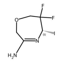 NC1=N[C@@H](I)C(F)(F)COC1